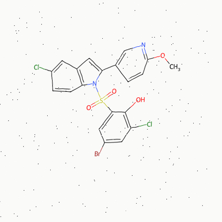 COc1ccc(-c2cc3cc(Cl)ccc3n2S(=O)(=O)c2cc(Br)cc(Cl)c2O)cn1